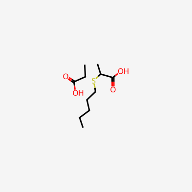 CCC(=O)O.CCCCCSC(C)C(=O)O